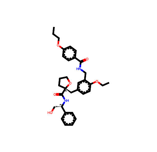 CCCOc1ccc(C(=O)NCc2cc(C[C@@]3(C(=O)N[C@@H](CO)c4ccccc4)CCCO3)ccc2OCC)cc1